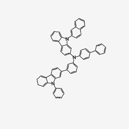 C1=c2c(n(-c3ccccc3)c3cc(-c4cccc(N(c5ccc(-c6ccccc6)cc5)c5ccc6c7ccccc7n(-c7ccc8ccccc8c7)c6c5)c4)ccc23)=CCC1